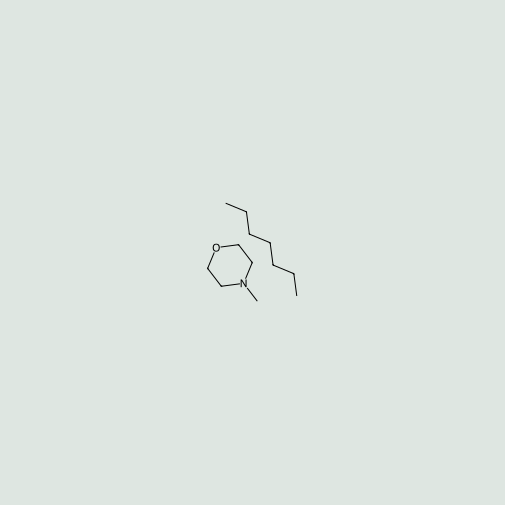 CCCCCCC.CN1CCOCC1